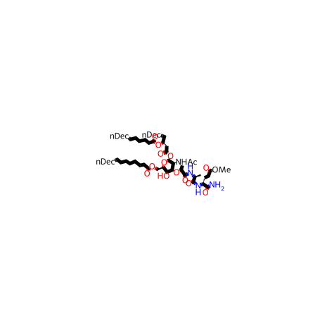 CCCCCCCCCCCCCCCCCC(=O)OC[C@H]1O[C@H](OC(=O)C[C@@H](CCCCCCCCCCC)OC(=O)CCCCCCCCCCCCCCC)[C@H](NC(C)=O)[C@H](OC(C)C(=O)N[C@@H](C)C(=O)N[C@H](CCC(=O)OC)C(N)=O)[C@@H]1O